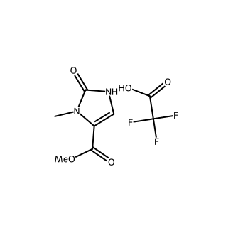 COC(=O)c1c[nH]c(=O)n1C.O=C(O)C(F)(F)F